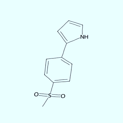 CS(=O)(=O)c1ccc(-c2ccc[nH]2)cc1